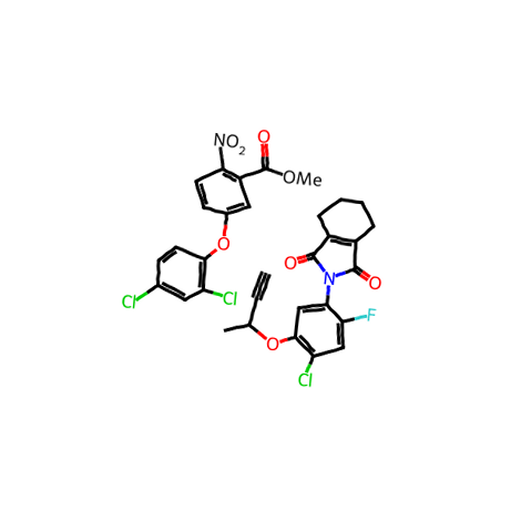 C#CC(C)Oc1cc(N2C(=O)C3=C(CCCC3)C2=O)c(F)cc1Cl.COC(=O)c1cc(Oc2ccc(Cl)cc2Cl)ccc1[N+](=O)[O-]